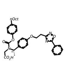 CCCCCCCCc1ccc(OC(=O)N(CC(=O)O)[C@@H](C)c2ccc(OCCc3noc(-c4ccccc4)n3)cc2)cc1